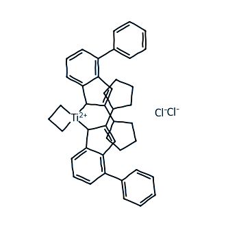 C1=C(C2CCCC2)[CH]([Ti+2]2([CH]3C(C4CCCC4)=Cc4c(-c5ccccc5)cccc43)[CH2]C[CH2]2)c2cccc(-c3ccccc3)c21.[Cl-].[Cl-]